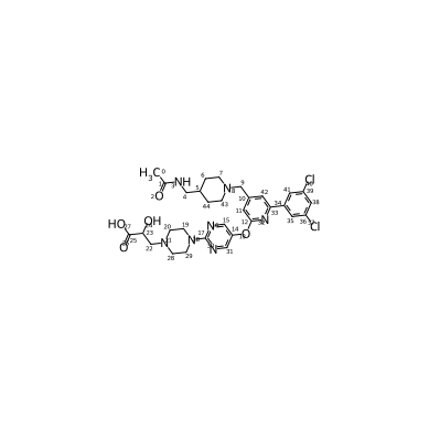 CC(=O)NCC1CCN(Cc2cc(Oc3cnc(N4CCN(CC(O)C(=O)O)CC4)nc3)nc(-c3cc(Cl)cc(Cl)c3)c2)CC1